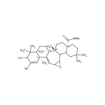 CNC(=O)[C@]12CCC(C)(C)CC1C1C3OC3C=C3[C@@]4(C)C=C(C#N)C(O)C(C)(C)C4CC[C@@]3(C)[C@]1(C)CC2